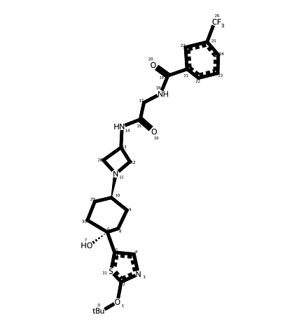 CC(C)(C)Oc1ncc([C@]2(O)CC[C@H](N3CC(NC(=O)CNC(=O)c4cccc(C(F)(F)F)c4)C3)CC2)s1